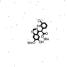 COc1cc2ncnc(C(C(=O)OC(C)(C)C)c3cccc(Cl)c3F)c2cc1O